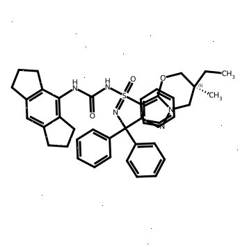 CC[C@]1(C)COc2c(S(=O)(=NC(c3ccccc3)(c3ccccc3)c3ccccc3)NC(=O)Nc3c4c(cc5c3CCC5)CCC4)cnn2C1